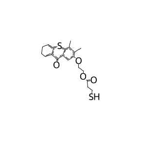 Cc1c(OCCOC(=O)CCS)cc2c(=O)c3c(sc2c1C)=CCCC=3